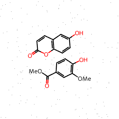 COC(=O)c1ccc(O)c(OC)c1.O=c1ccc2cc(O)ccc2o1